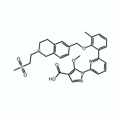 COc1c(C(=O)O)cnn1-c1cccc(-c2cccc(C)c2OCc2ccc3c(c2)CCN(CCS(C)(=O)=O)C3)n1